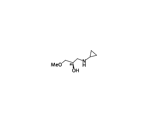 COC[C@H](O)CNC1CC1